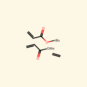 C=C.C=CC(=O)OC.C=CC(=O)OCCCC